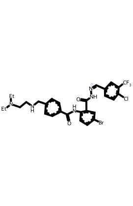 CCN(CC)CCNCc1ccc(C(=O)Nc2ccc(Br)cc2C(=O)N/N=C\c2ccc(Cl)c(C(F)(F)F)c2)cc1